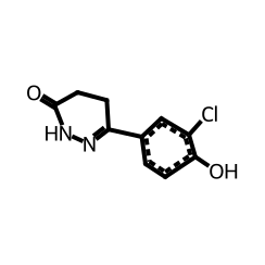 O=C1CCC(c2ccc(O)c(Cl)c2)=NN1